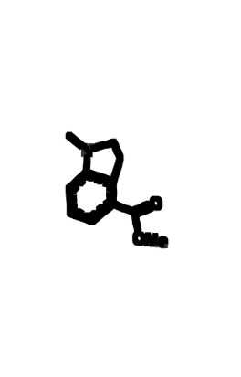 COC(=O)c1cccc2c1CCN2C